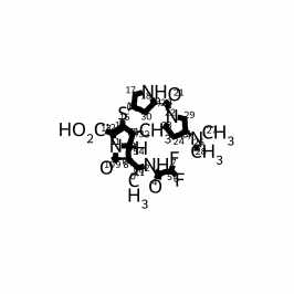 C[C@@H](NC(=O)C(F)F)[C@H]1C(=O)N2C(C(=O)O)=C(S[C@@H]3CN[C@H](C(=O)N4CC[C@H](N(C)C)C4)C3)[C@H](C)[C@H]12